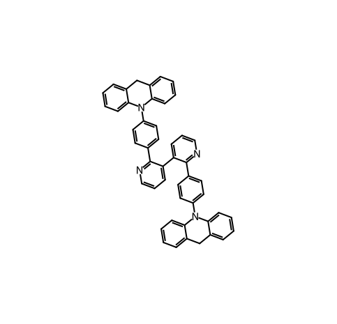 c1ccc2c(c1)Cc1ccccc1N2c1ccc(-c2ncccc2-c2cccnc2-c2ccc(N3c4ccccc4Cc4ccccc43)cc2)cc1